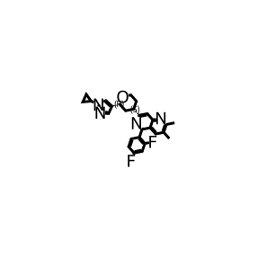 Cc1cc2c(-c3ccc(F)cc3F)nc([C@H]3CCO[C@@H](c4cnn(C5CC5)c4)C3)cc2nc1C